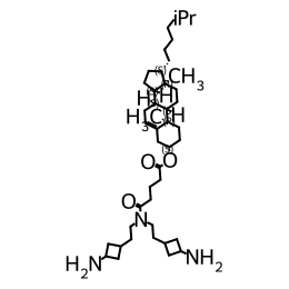 CC(C)CCCC[C@H]1CC[C@H]2[C@@H]3CC=C4C[C@@H](OC(=O)CCCC(=O)N(CCC5CC(N)C5)CCC5CC(N)C5)CC[C@]4(C)[C@H]3CC[C@]12C